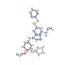 CNc1nc(OCc2cccnn2)nc2c1ncn2Cc1ccc(OC)c(OC2CCCC2)c1